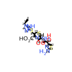 C#CCN1C=NN(SCC2=C(C(=O)O)N3C(=O)C(NC(=O)C(O)c4csc(N)n4)[C@@H]3SC2)N1